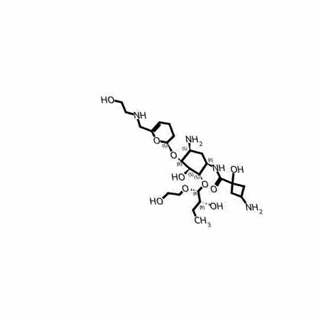 CC[C@@H](O)[C@H](OCCO)O[C@@H]1[C@@H](O)[C@H](O[C@@H]2CCC=C(CNCCO)O2)[C@@H](N)C[C@H]1NC(=O)C1(O)CC(N)C1